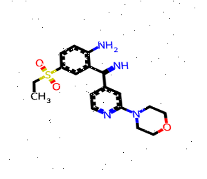 CCS(=O)(=O)c1ccc(N)c(C(=N)c2ccnc(N3CCOCC3)c2)c1